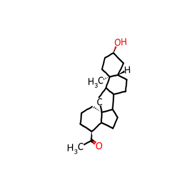 CC(=O)[C@H]1CCC[C@]23CCC4C(CC[C@H]5C[C@H](O)CC[C@]45C)C2CCC13